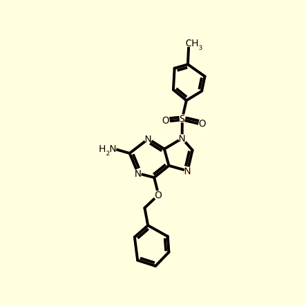 Cc1ccc(S(=O)(=O)n2cnc3c(OCc4ccccc4)nc(N)nc32)cc1